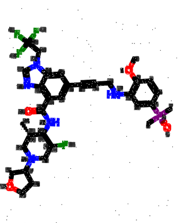 COc1ccc(P(C)(C)=O)cc1NCC#Cc1cc(C(=O)N[C@@H]2[C@@H](C)CN(C3CCOC3)C[C@@H]2F)c2ncn(CC(F)(F)F)c2c1